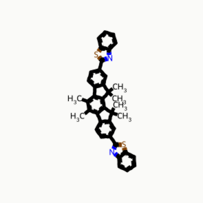 Cc1c(C)c2c(c3c1-c1ccc(-c4nc5ccccc5s4)cc1C3(C)C)C(C)(C)c1cc(-c3nc4ccccc4s3)ccc1-2